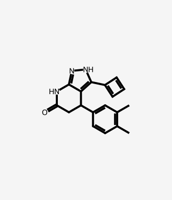 Cc1ccc(C2CC(=O)Nc3n[nH]c(C4=CC=C4)c32)cc1C